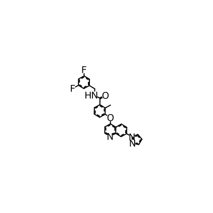 Cc1c(Oc2ccnc3cc(-n4cccn4)ccc23)cccc1C(=O)NCc1cc(F)cc(F)c1